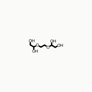 OCC(O)OCCOC(O)CO